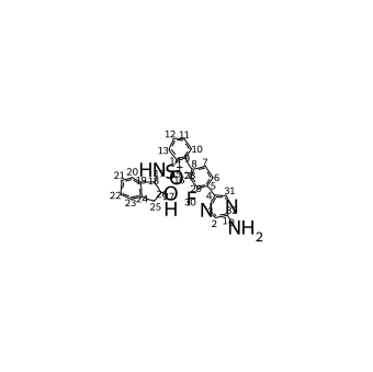 Nc1cnc(-c2ccc(-c3ccccc3[S+]([O-])NC3c4ccccc4CC3O)cc2F)cn1